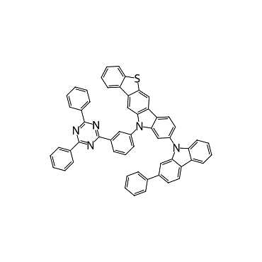 c1ccc(-c2ccc3c4ccccc4n(-c4ccc5c6cc7sc8ccccc8c7cc6n(-c6cccc(-c7nc(-c8ccccc8)nc(-c8ccccc8)n7)c6)c5c4)c3c2)cc1